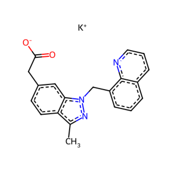 Cc1nn(Cc2cccc3cccnc23)c2cc(CC(=O)[O-])ccc12.[K+]